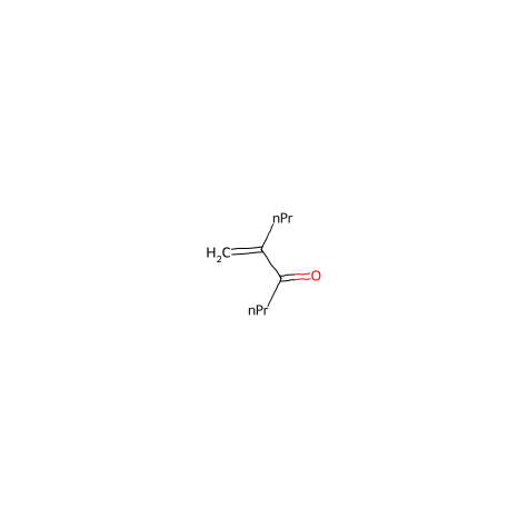 C=C(CCC)C(=O)CCC